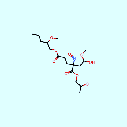 CCCC(COC(=O)CCC(CC(O)OC)(N=O)C(=O)OCC(C)O)OC